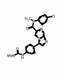 CNC(=O)Nc1ccc(-c2cnc3cnc(C(=O)N(C)c4ccc(Cl)cc4)cn23)cc1